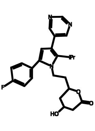 CC(C)c1c(-c2cncnc2)cc(-c2ccc(F)cc2)n1CCC1CC(O)CC(=O)O1